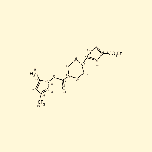 CCOC(=O)c1csc(N2CCN(C(=O)Cn3nc(C(F)(F)F)cc3C)CC2)n1